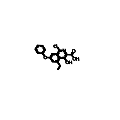 CCc1cc(Oc2ccccc2)cc2c(Cl)nc(C(=O)O)c(O)c12